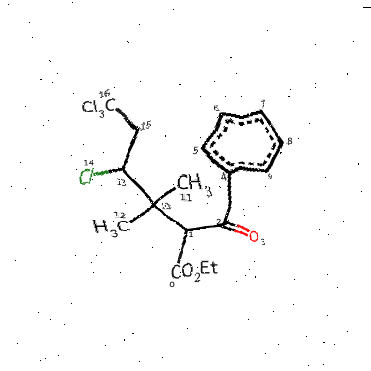 CCOC(=O)C(C(=O)c1ccccc1)C(C)(C)C(Cl)CC(Cl)(Cl)Cl